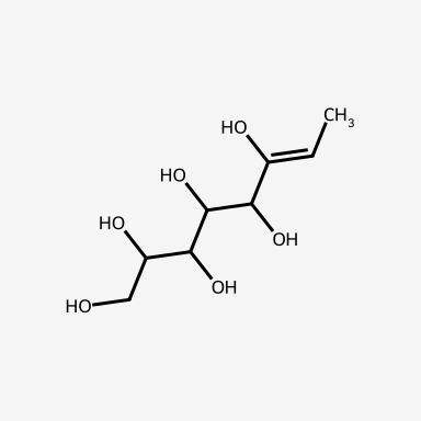 CC=C(O)C(O)C(O)C(O)C(O)CO